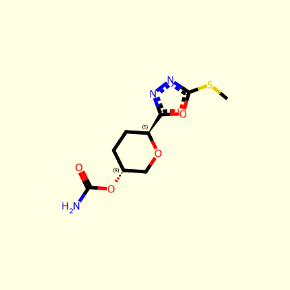 CSc1nnc([C@@H]2CC[C@@H](OC(N)=O)CO2)o1